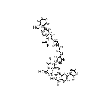 Cc1ncsc1-c1ccc([C@H](C)NC(=O)[C@@H]2C[C@@H](O)CN2C(=O)[C@@H](c2cc(OCCN3CC(c4cc5cc(-c6ccccc6O)nnc5n4C(F)F)C3)no2)C(C)C)cc1